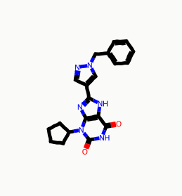 O=c1[nH]c(=O)n(C2CCCC2)c2nc(-c3cnn(Cc4ccccc4)c3)[nH]c12